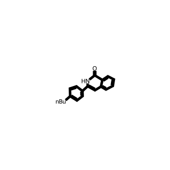 CCCCc1ccc(-c2cc3ccccc3c(=O)[nH]2)cc1